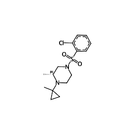 C[C@@H]1CN(S(=O)(=O)c2ccccc2Cl)CCN1C1(C)CC1